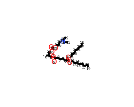 [CH2]C(COC(=O)CCCCC(OCCCCCCCC)OCCCCCCCC)COC(=O)OCCCN(CC)CC